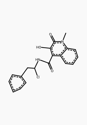 Cn1c(=O)c(O)c(C(=O)NC(Cl)Cc2ccccc2)c2ccccc21